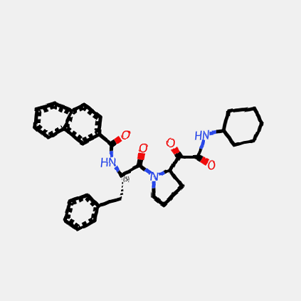 O=C(NC1CCCCC1)C(=O)C1CCCN1C(=O)[C@H](Cc1ccccc1)NC(=O)c1ccc2ccccc2c1